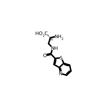 N[C@H](CNC(=O)c1cc2ncccc2s1)C(=O)O